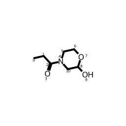 CCC(=O)N1CCOC(O)C1